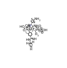 CC1(C)[C@H](NC(=O)/C(=N\O[C@](C)(C(=O)O)[C@H]2CCc3cc(C(=N)NC4[C@H]5CNC[C@@H]45)ccc3O2)c2csc(N)n2)C(=O)N1OS(=O)(=O)O